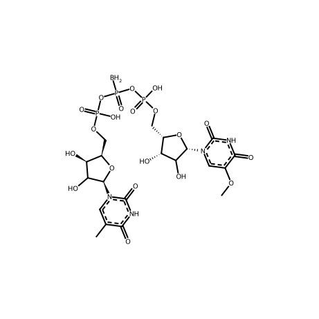 BP(=O)(OP(=O)(O)OC[C@@H]1O[C@H](n2cc(OC)c(=O)[nH]c2=O)C(O)[C@@H]1O)OP(=O)(O)OC[C@H]1O[C@@H](n2cc(C)c(=O)[nH]c2=O)C(O)[C@H]1O